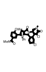 CNC(=O)c1ccc(OC)c(-c2cc3c(n2C(C)C)C2c4ccc(Cl)cc4-c4c(cn(C)c(=O)c4Cl)N2C3=O)c1